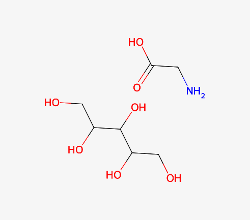 NCC(=O)O.OCC(O)C(O)C(O)CO